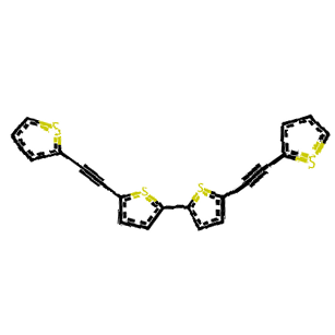 C(#Cc1ccc(-c2ccc(C#Cc3cccs3)s2)s1)c1cccs1